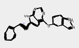 C(=C\c1cc2c(Nc3ccc4[nH]ncc4c3)ncnc2[nH]1)/c1ccccc1